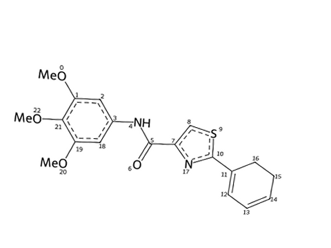 COc1cc(NC(=O)c2csc(C3=CC=CCC3)n2)cc(OC)c1OC